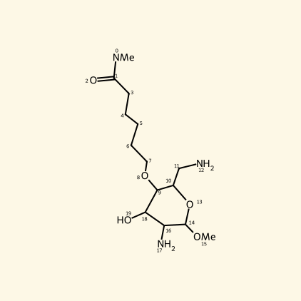 CNC(=O)CCCCCOC1C(CN)OC(OC)C(N)C1O